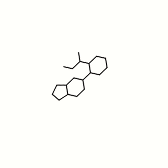 CCC(C)C1CCCCC1C1CCC2CCCC2C1